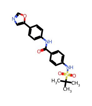 CC(C)(C)S(=O)(=O)Nc1ccc(C(=O)Nc2ccc(-c3cnco3)cc2)cc1